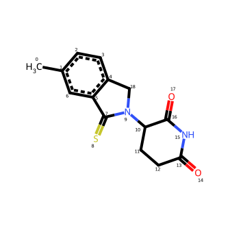 Cc1ccc2c(c1)C(=S)N(C1CCC(=O)NC1=O)C2